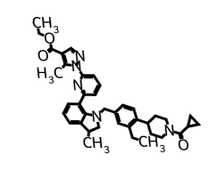 CCOC(=O)c1cnn(-c2cccc(-c3cccc4c3N(Cc3ccc(C5CCN(C(=O)C6CC6)CC5)c(CC)c3)CC4C)n2)c1C